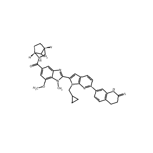 COc1cc(C(=O)N2C[C@H]3CC[C@@H]2[C@@H]3N)cc2nc(-c3cc4ccc(-c5ccc6c(c5)NC(=O)CC6)nc4n3CC3CC3)n(C)c12